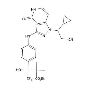 CCOC(=O)C(C)(C)C(O)(c1ccc(Nc2nn(C(CC#N)C3CC3)c3cc[nH]c(=O)c23)cc1)C(F)(F)F